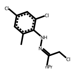 CCCC(CCl)=NNc1c(C)cc(Cl)cc1Cl